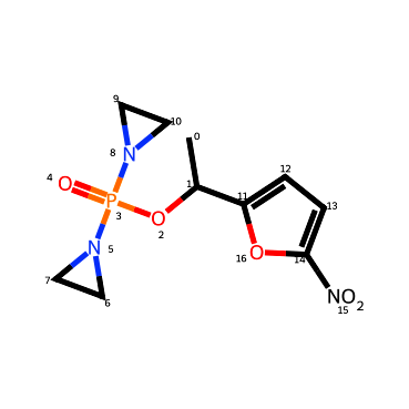 CC(OP(=O)(N1CC1)N1CC1)c1ccc([N+](=O)[O-])o1